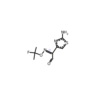 CC(C)(F)O/N=C(\[C]=O)c1csc(N)n1